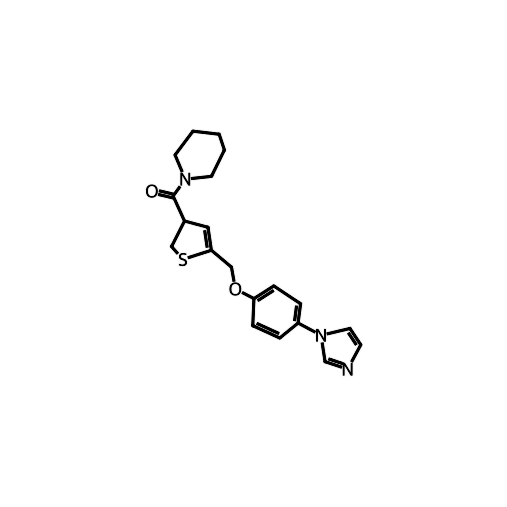 O=C(C1C=C(COc2ccc(-n3ccnc3)cc2)SC1)N1CCCCC1